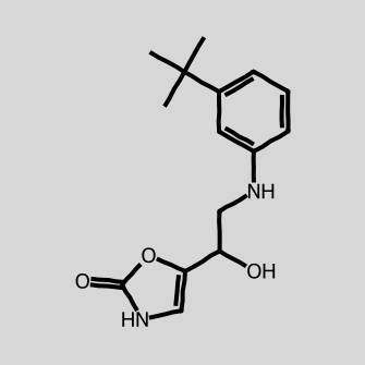 CC(C)(C)c1cccc(NCC(O)c2c[nH]c(=O)o2)c1